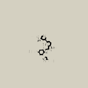 Cc1cn(C2=CC(C)Cc3[nH]c(-c4n[nH]c5ccc(-c6cncc(N(C)C)c6)nc45)nc32)cn1